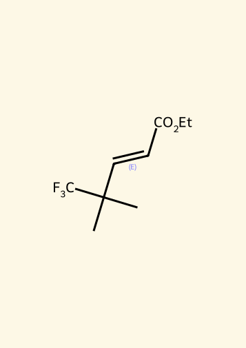 CCOC(=O)/C=C/C(C)(C)C(F)(F)F